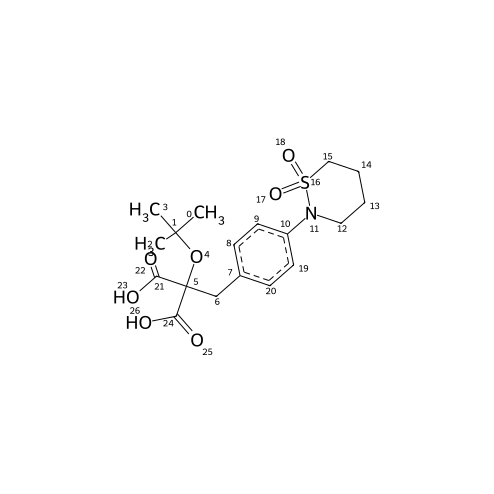 CC(C)(C)OC(Cc1ccc(N2CCCCS2(=O)=O)cc1)(C(=O)O)C(=O)O